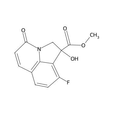 COC(=O)C1(O)Cn2c(=O)ccc3ccc(F)c1c32